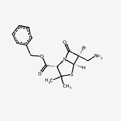 CC1(C)S[C@H]2N(C(=O)[C@@]2(Br)CN)[C@H]1C(=O)OCc1ccccc1